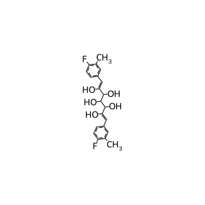 Cc1cc(C=C(O)C(O)C(O)C(O)C(O)=Cc2ccc(F)c(C)c2)ccc1F